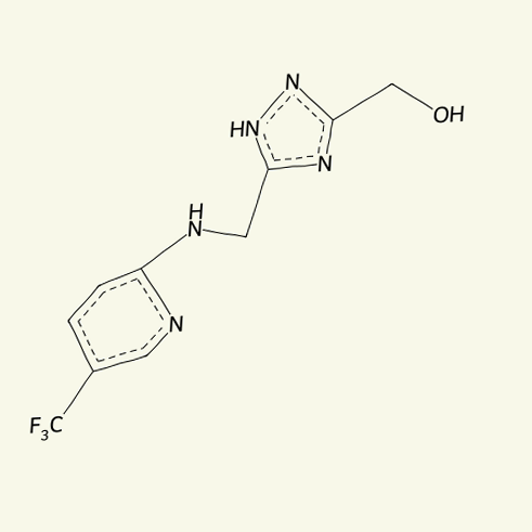 OCc1n[nH]c(CNc2ccc(C(F)(F)F)cn2)n1